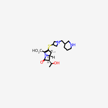 CC(O)[C@H]1C(=O)N2C(C(=O)O)=C(SC3CN(CC4CCCNC4)C3)[C@H](C)[C@H]12